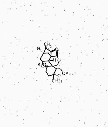 C=C1C(=O)[C@]23C[C@H]1C[C@H](O)[C@H]2[C@]1(COC3=O)[C@@H](OC(C)=O)CCC(C)(C)[C@H]1COC(C)=O